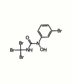 O=C(NC(Br)(Br)Br)N(O)c1cccc(Br)c1